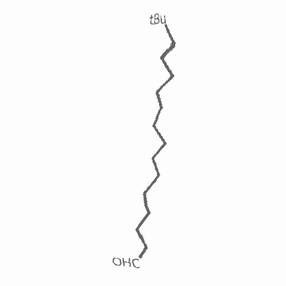 CC(C)(C)CCCCCCCCCCCCCC=O